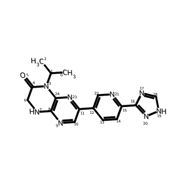 CC(C)N1C(=O)CNc2ncc(-c3ccc(-c4nc[nH]n4)nc3)nc21